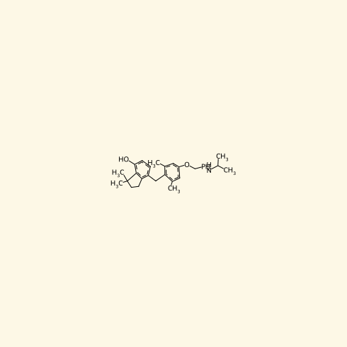 Cc1cc(OCPNC(C)C)cc(C)c1Cc1ccc(O)c2c1CCC2(C)C